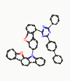 c1ccc(-c2ccc(-c3nc(-c4ccccc4)nc(-c4cccc5oc6cc(-n7c8ccccc8c8ccc9c%10ccccc%10oc9c87)ccc6c45)n3)cc2)cc1